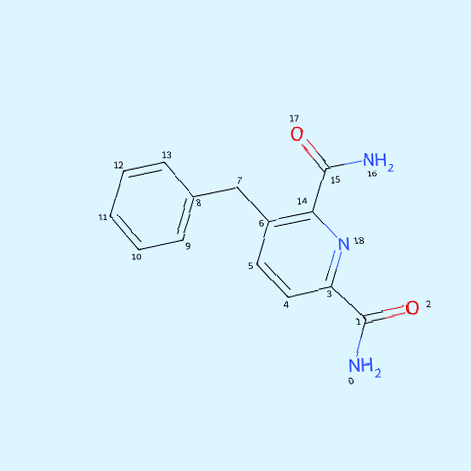 NC(=O)c1ccc(Cc2ccccc2)c(C(N)=O)n1